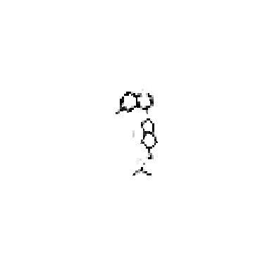 CC(C)NC(=O)C1C[C@@H]2C[C@H](c3ccnc4ccc(F)cc34)C[C@@H]2C1